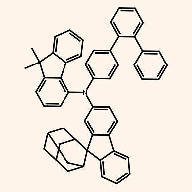 CC1(C)c2ccccc2-c2c(N(c3ccc(-c4ccccc4-c4ccccc4)cc3)c3ccc4c(c3)C3(c5ccccc5-4)C4CC5CC(C4)CC3C5)cccc21